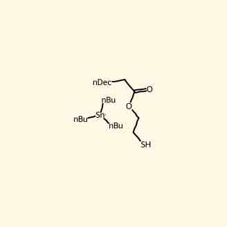 CCCCCCCCCCCC(=O)OCCS.CCC[CH2][Sn]([CH2]CCC)[CH2]CCC